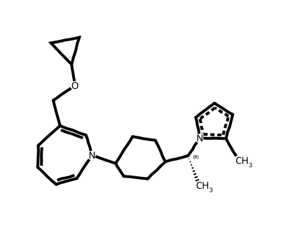 Cc1cccn1[C@H](C)C1CCC(N2C=CC=CC(COC3CC3)=C2)CC1